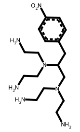 NCCN(CCN)CC(Cc1ccc([N+](=O)[O-])cc1)N(CCN)CCN